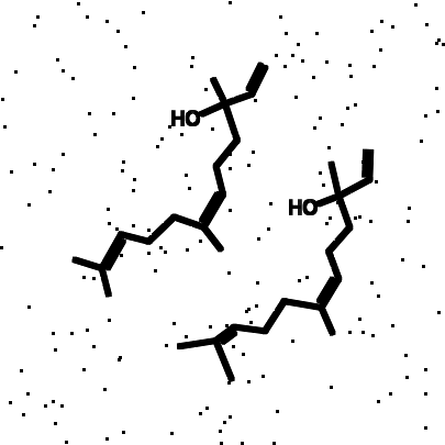 C=CC(C)(O)CCC=C(C)CCC=C(C)C.C=CC(C)(O)CCC=C(C)CCC=C(C)C